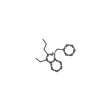 CCCc1c(CC)c2ccccc2n1Cc1ccccc1